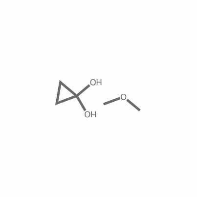 COC.OC1(O)CC1